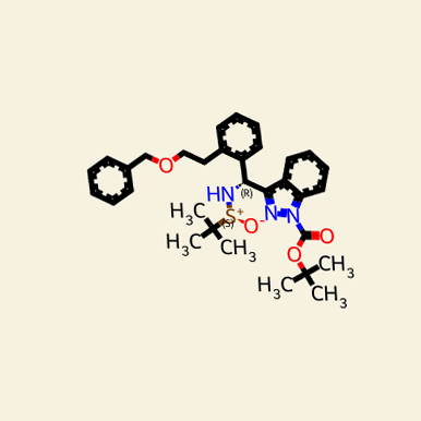 CC(C)(C)OC(=O)n1nc([C@H](N[S@+]([O-])C(C)(C)C)c2ccccc2CCOCc2ccccc2)c2ccccc21